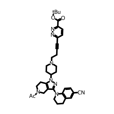 CC(=O)N1CCc2c(c(N3CCCc4cc(C#N)ccc43)nn2C2CCN(CCC#Cc3ccc(C(=O)OC(C)(C)C)nn3)CC2)C1